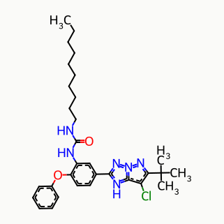 CCCCCCCCCCNC(=O)Nc1cc(-c2nn3nc(C(C)(C)C)c(Cl)c3[nH]2)ccc1Oc1ccccc1